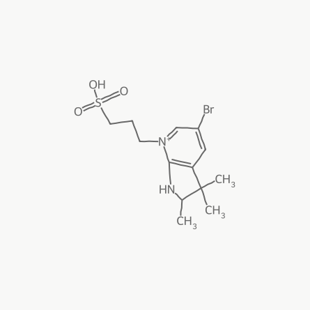 CC1Nc2c(cc(Br)c[n+]2CCCS(=O)(=O)O)C1(C)C